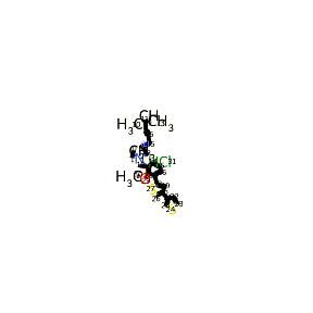 CCN(C/C=C/C#CC(C)(C)C)Cc1cccc(-c2cc(-c3ccsc3)cs2)c1OC.Cl